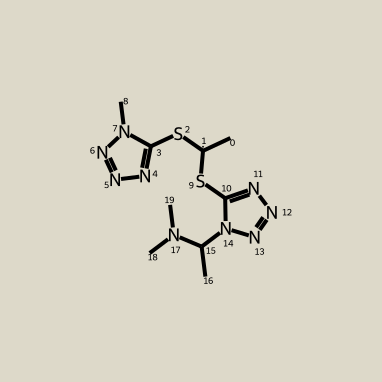 C[C](Sc1nnnn1C)Sc1nnnn1C(C)N(C)C